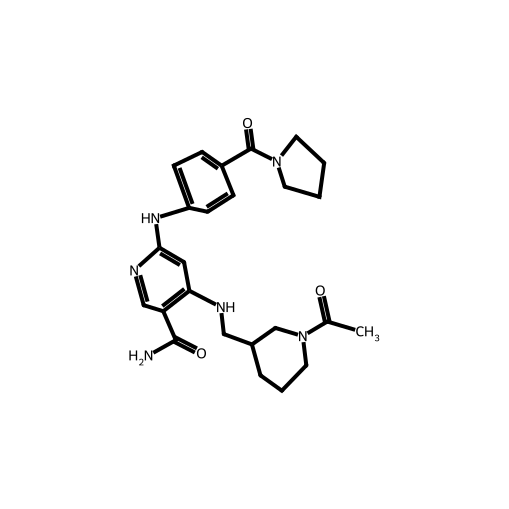 CC(=O)N1CCCC(CNc2cc(Nc3ccc(C(=O)N4CCCC4)cc3)ncc2C(N)=O)C1